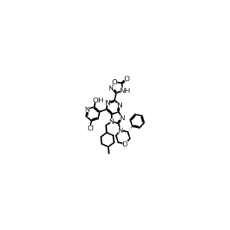 CC1CCC(Cn2c(N3CCOC[C@H]3c3ccccc3)nc3nc(-c4noc(=O)[nH]4)nc(-c4cc(Cl)cnc4O)c32)CC1